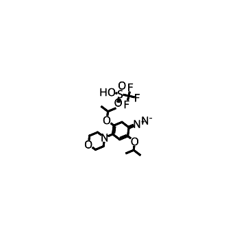 CC(C)OC1=CC(N2CCOCC2)=C(OC(C)C)CC1=[N+]=[N-].O=S(=O)(O)C(F)(F)F